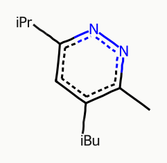 CCC(C)c1cc(C(C)C)nnc1C